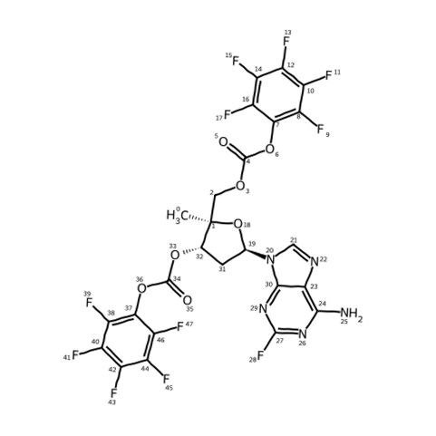 C[C@]1(COC(=O)Oc2c(F)c(F)c(F)c(F)c2F)O[C@@H](n2cnc3c(N)nc(F)nc32)C[C@@H]1OC(=O)Oc1c(F)c(F)c(F)c(F)c1F